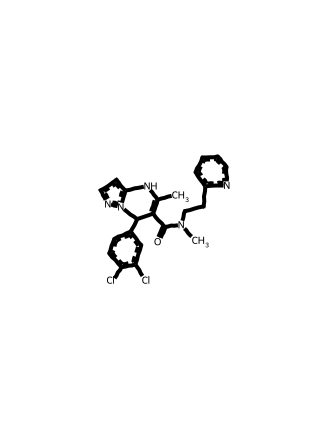 CC1=C(C(=O)N(C)CCc2ccccn2)C(c2ccc(Cl)c(Cl)c2)n2nccc2N1